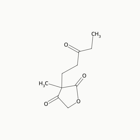 CCC(=O)CCC1(C)C(=O)COC1=O